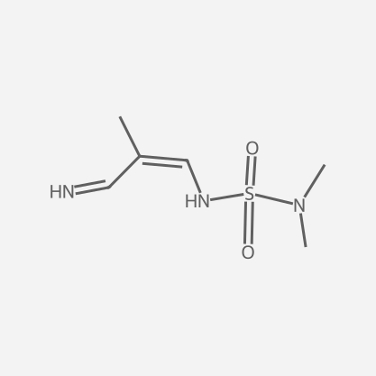 C/C(C=N)=C/NS(=O)(=O)N(C)C